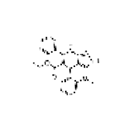 CCOC(=O)C1=C(c2ccccc2)Nc2n[nH]cc2C1c1ccccc1OC